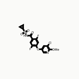 COc1ncc(Oc2cc(F)c(C(=O)NS(=O)(=O)C3CC3)cc2F)cc1Cl